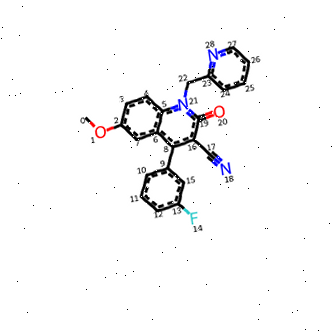 COc1ccc2c(c1)c(-c1cccc(F)c1)c(C#N)c(=O)n2Cc1ccccn1